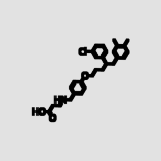 Cc1ccc(CC(CCCOc2ccc(CNCCC(=O)O)cc2)c2cccc(Cl)c2)cc1C